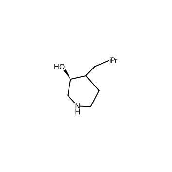 CC(C)CC1CCNC[C@H]1O